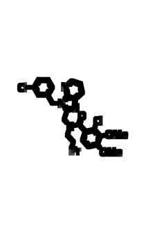 COc1ccc(C(=O)N(CCC(C)C)Cc2nc3cccnc3n2Cc2cccc(Cl)c2)c(Cl)c1OC